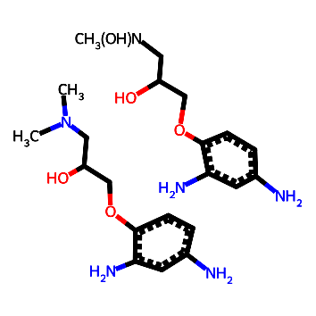 CN(C)CC(O)COc1ccc(N)cc1N.CN(O)CC(O)COc1ccc(N)cc1N